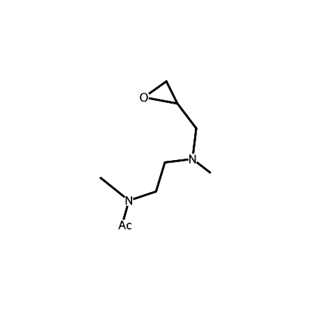 CC(=O)N(C)CCN(C)CC1CO1